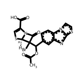 CC(=O)OC(c1ccc2c(c1)nc1sccn12)C1(Br)C(=O)N2C(C(=O)O)=CS[C@@H]21